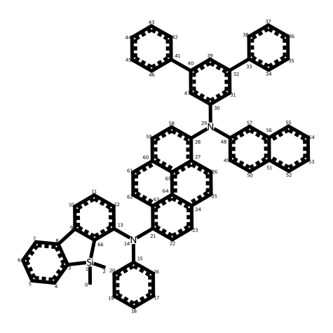 C[Si]1(C)c2ccccc2-c2cccc(N(c3ccccc3)c3ccc4ccc5c(N(c6cc(-c7ccccc7)cc(-c7ccccc7)c6)c6ccc7ccccc7c6)ccc6ccc3c4c65)c21